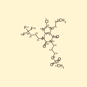 C=CCn1c(Cl)nc2c1c(=O)n(CCCOS(C)(=O)=O)c(=O)n2CCCC(F)(F)F